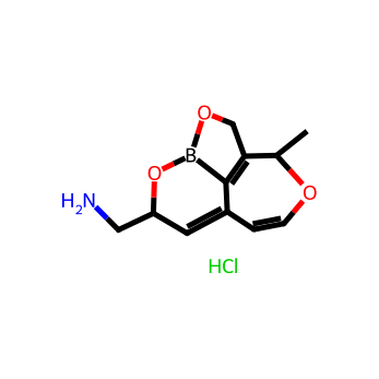 CC1OC=CC2=CC(CN)OB3OCC1=C32.Cl